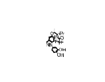 CC(C)[C@H](NC(=O)C(C)(F)F)[C@@H](C)Oc1ccc2c(cnn2-c2ccc(O)c(O)c2)c1